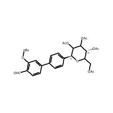 CCCCOc1cc(-c2ccc([C@@H]3OC(COC(C)=O)[C@@H](OC(C)=O)C(OC(C)=O)C3OC(C)=O)cc2)ccc1C=O